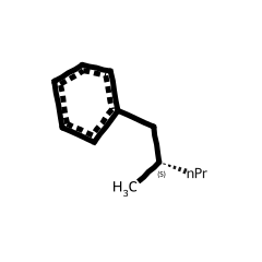 CCC[C@H](C)Cc1ccccc1